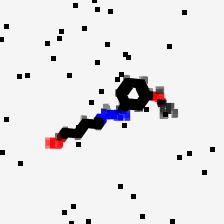 OCCCC=NNc1cccc(OC(F)(F)F)c1